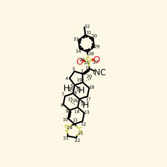 [C-]#[N+]C(=C1CC[C@H]2[C@@H]3CCC4=CC5(CC[C@]4(C)[C@H]3CC[C@]12C)SCCS5)S(=O)(=O)c1ccc(C)cc1